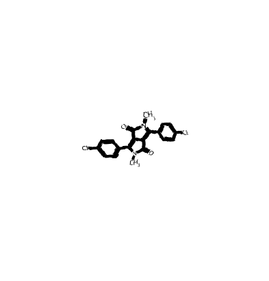 CN1C(=O)C2=C(c3ccc(Cl)cc3)N(C)C(=O)C2=C1c1ccc(Cl)cc1